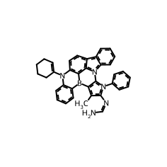 Cc1c2c(n(-c3ccccc3)c1/N=C\N)-n1c3ccccc3c3ccc4c(c31)B2c1ccccc1N4C1=CCCCC1